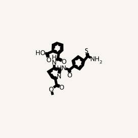 COC(=O)c1ccc(NC(=O)c2ccccc2C(=O)O)c(NC(=O)c2ccc(C(N)=S)cc2)n1